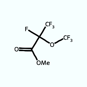 COC(=O)C(F)(OC(F)(F)F)C(F)(F)F